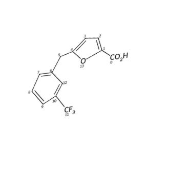 O=C(O)c1ccc(Cc2cccc(C(F)(F)F)c2)o1